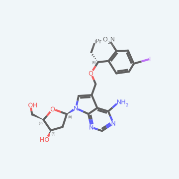 CC(C)C[C@@H](OCc1cn([C@H]2C[C@@H](O)[C@@H](CO)O2)c2ncnc(N)c12)c1ccc(I)cc1[N+](=O)[O-]